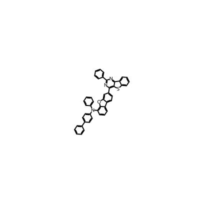 c1ccc(-c2ccc(N(c3ccccc3)c3cccc4c3oc3cc(-c5nc(-c6ccccc6)nc6c5sc5ccccc56)ccc34)cc2)cc1